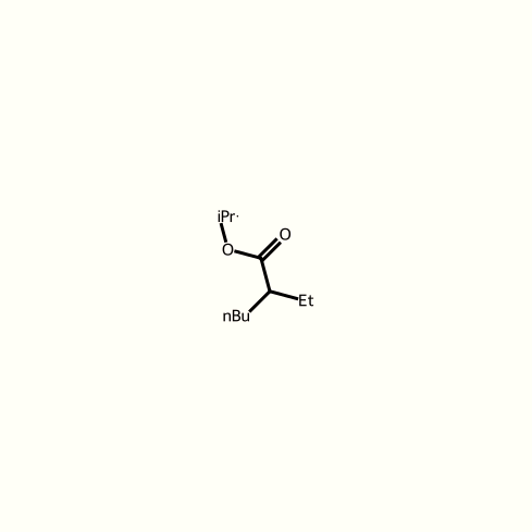 CCCCC(CC)C(=O)O[C](C)C